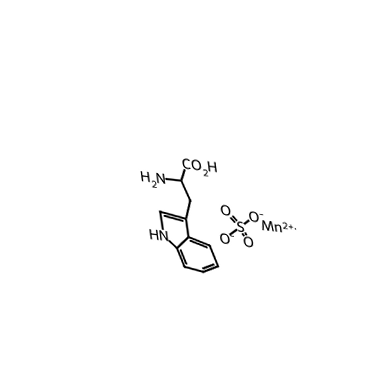 NC(Cc1c[nH]c2ccccc12)C(=O)O.O=S(=O)([O-])[O-].[Mn+2]